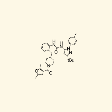 Cc1ccc(-n2nc(C(C)(C)C)cc2NC(=O)Nc2ccccc2CC2CCN(C(=O)c3cc(C)oc3C)CC2)cc1